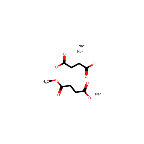 COC(=O)CCC(=O)[O-].O=C([O-])CCC(=O)[O-].[Na+].[Na+].[Na+]